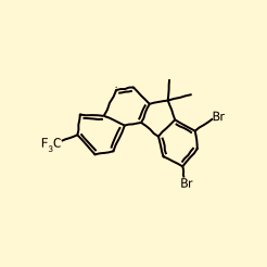 CC1(C)c2c[c]c3cc(C(F)(F)F)ccc3c2-c2cc(Br)cc(Br)c21